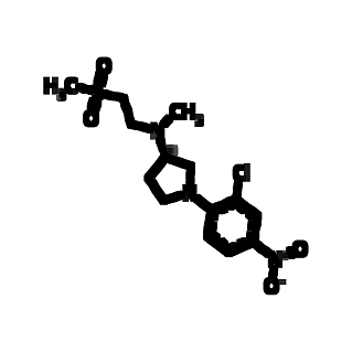 CN(CCS(C)(=O)=O)[C@@H]1CCN(c2ccc([N+](=O)[O-])cc2Cl)C1